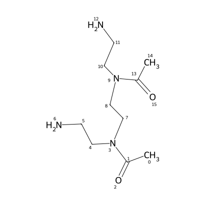 CC(=O)N(CCN)CCN(CCN)C(C)=O